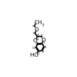 CCOCC1COc2ccc(O)cc2O1